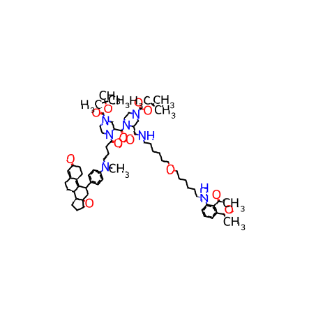 CC(=O)c1cccc(NCCCCCCOCCCCCCNC(=O)C2CN(C(=O)OC(C)(C)C)CCN2C(=O)C2CN(C(=O)OC(C)(C)C)CCN2C(=O)CCCN(C)c2ccc(C3CC45OC4CCC5C4CCC5=CC(=O)CCC5=C34)cc2)c1C(C)=O